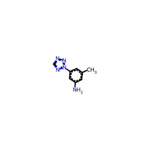 Cc1cc(N)cc(-n2ncnn2)c1